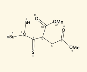 CCCCN(S)C(=S)C(CC(=O)OC)C(=O)OC